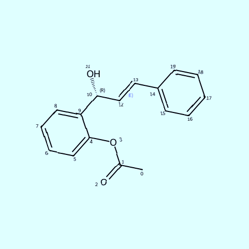 CC(=O)Oc1ccccc1[C@H](O)/C=C/c1ccccc1